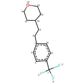 FC(F)(F)c1ccc(CCC2[C]COCC2)cc1